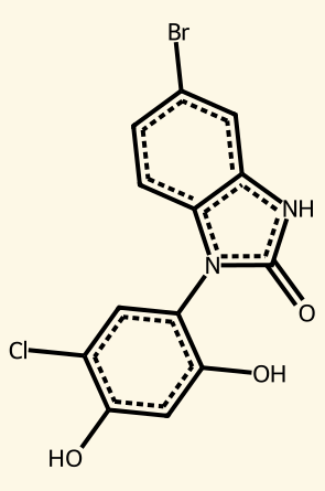 O=c1[nH]c2cc(Br)ccc2n1-c1cc(Cl)c(O)cc1O